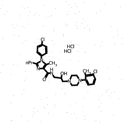 CCCc1nc(C(=O)NCC(O)CN2CCN(c3cccc(Cl)c3C)CC2)c(C)n1-c1ccc(Cl)cc1.Cl.Cl